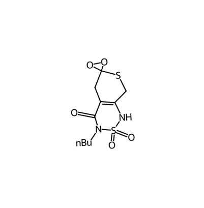 CCCCN1C(=O)C2=C(CSC3(C2)OO3)NS1(=O)=O